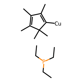 CC1=C(C)C(C)(C)[C]([Cu])=C1C.CCP(CC)CC